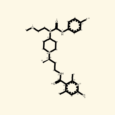 COCCN(C(=O)Nc1ccc(F)cc1)C1CCN([C@H](C)CCNC(=O)c2c(C)cc(Cl)nc2C)CC1